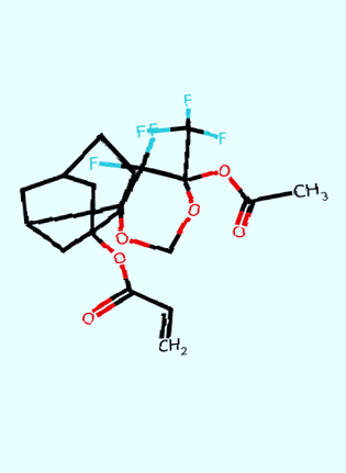 C=CC(=O)OC12CC3CC(C1)C1(OCOC(OC(C)=O)(C(F)(F)F)C1(F)F)C(C3)C2